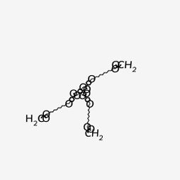 C=CC(=O)OCCCCCCCCCCOc1ccc(C(=O)Oc2ccc(OC(=O)c3ccc(OCCCCCCCCCCOC(=O)C=C)cc3)c(OC(=O)c3ccc(OCCCCCCCCCCOC(=O)C=C)cc3)c2)cc1